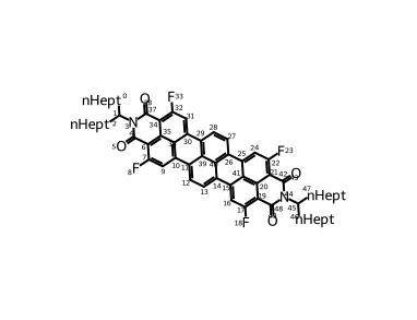 CCCCCCCC(CCCCCCC)N1C(=O)c2c(F)cc3c4ccc5c6cc(F)c7c8c(c(F)cc(c9ccc(c%10cc(F)c(c2c3%10)C1=O)c4c59)c86)C(=O)N(C(CCCCCCC)CCCCCCC)C7=O